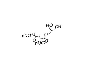 CCCCCCCCOC(CCC(=O)OCC(CO)CO)OCCCCCCCC